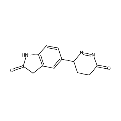 O=C1CCC(c2ccc3c(c2)CC(=O)N3)N=N1